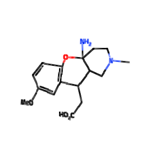 COc1ccc2c(c1)C(CC(=O)O)C1CN(C)CCC1(N)O2